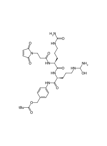 CC(C)(C)C(=O)OCc1ccc(NC(=O)[C@H](CCCNC(N)O)NC(=O)[C@H](CCCNC(N)=O)NC(=O)CCN2C(=O)C=CC2=O)cc1